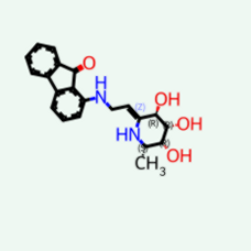 C[C@@H]1N/C(=C\CNc2cccc3c2C(=O)c2ccccc2-3)[C@@H](O)[C@H](O)[C@@H]1O